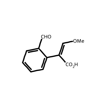 COC=C(C(=O)O)c1ccccc1C=O